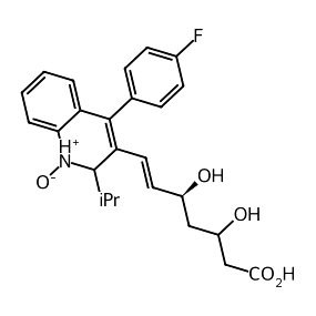 CC(C)C1C(C=C[C@@H](O)CC(O)CC(=O)O)=C(c2ccc(F)cc2)c2ccccc2[NH+]1[O-]